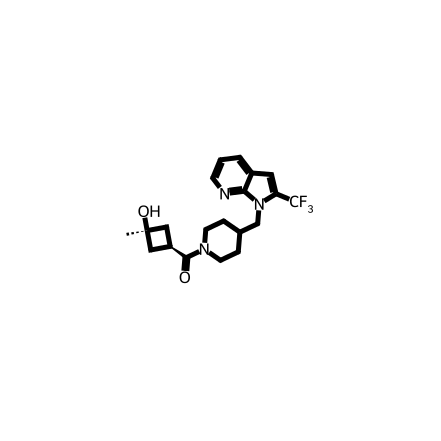 C[C@]1(O)C[C@@H](C(=O)N2CCC(Cn3c(C(F)(F)F)cc4cccnc43)CC2)C1